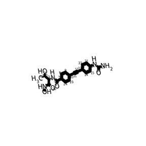 C[C@@H](O)[C@H](NC(=O)c1ccc(C#Cc2ccc(NC(N)=O)cc2)cc1)C(=O)NO